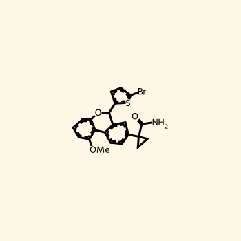 COc1cccc2c1-c1ccc(C3(C(N)=O)CC3)cc1C(c1ccc(Br)s1)O2